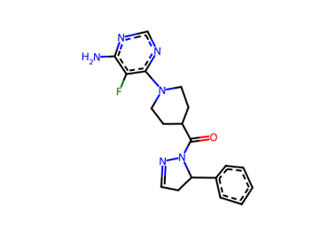 Nc1ncnc(N2CCC(C(=O)N3N=CCC3c3ccccc3)CC2)c1F